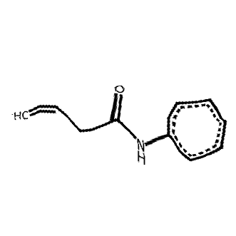 [CH]=CCC(=O)Nc1ccccc1